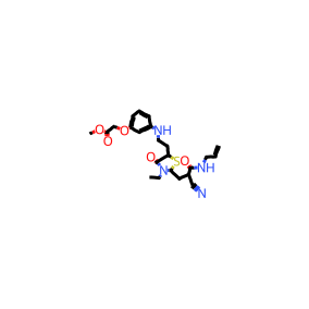 C=CCNC(=O)C(C#N)CC1SC(CCNc2cccc(OCC(=O)OC)c2)C(=O)N1CC